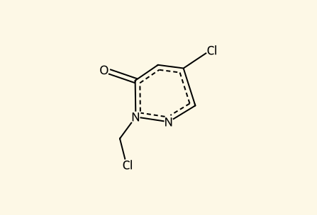 O=c1cc(Cl)cnn1CCl